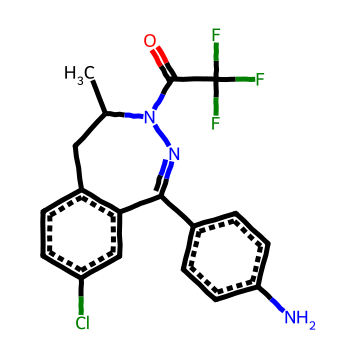 CC1Cc2ccc(Cl)cc2C(c2ccc(N)cc2)=NN1C(=O)C(F)(F)F